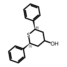 OC1C[C@@H](c2ccccc2)S[C@@H](c2ccccc2)C1